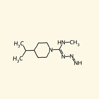 CN/C(=N\N=N)N1CCC(C(C)C)CC1